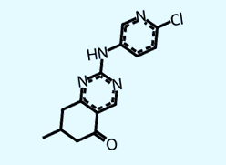 CC1CC(=O)c2cnc(Nc3ccc(Cl)nc3)nc2C1